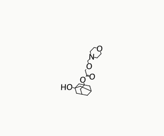 O=C(COCN1CCOCC1)OC12CC3CC(CC(O)(C3)C1)C2